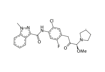 CO[C@@H](C(=O)Cc1cc(Cl)c(NC(=O)c2nn(C)c3ccccc23)cc1F)N1C[CH]CC1